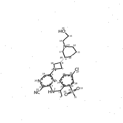 CC(Nc1nc(N2CC([C@H]3CCCN(CCO)C3)C2)cnc1C#N)c1ccc(Cl)cc1S(C)(=O)=O